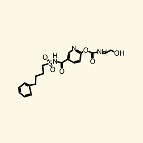 O=C(NCCO)Oc1ccc(C(=O)NS(=O)(=O)CCCCc2ccccc2)cn1